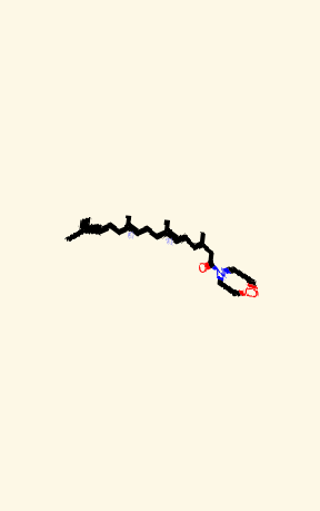 CC(C)=CCC/C(C)=C/CC/C(C)=C/CCC(C)CC(=O)N1CCOCC1